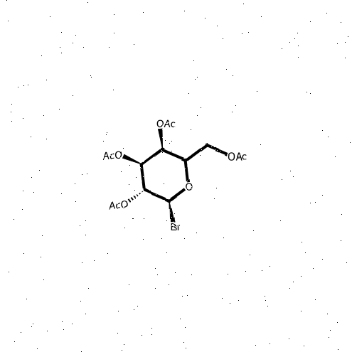 CC(=O)OCC1O[C@@H](Br)[C@H](OC(C)=O)[C@@H](OC(C)=O)[C@H]1OC(C)=O